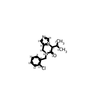 CC(C)C1C(=O)N(Cc2ccccc2Cl)Cc2cncn21